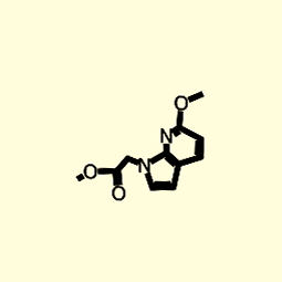 COC(=O)Cn1ccc2ccc(OC)nc21